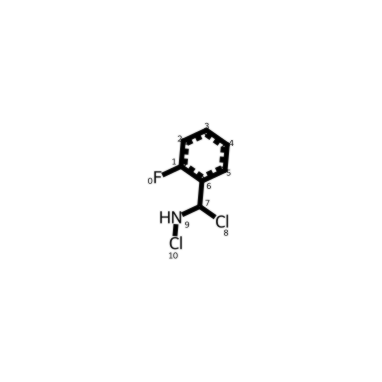 Fc1ccccc1C(Cl)NCl